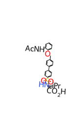 CC(=O)Nc1ccccc1OCc1ccc(-c2ccc(S(=O)(=O)N[C@@H](C(=O)O)C(C)C)cc2)cc1